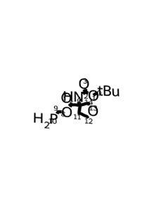 CC(C)(C)OC(=O)NC1(C(=O)OCP)CCOC1